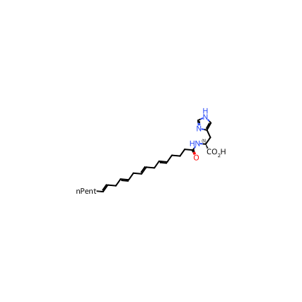 CCCCCC=CCC=CCC=CCC=CCCCC(=O)N[C@@H](Cc1c[nH]cn1)C(=O)O